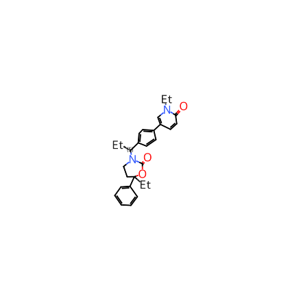 CC[C@@H](c1ccc(-c2ccc(=O)n(CC)c2)cc1)N1CCC(CC)(c2ccccc2)OC1=O